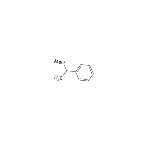 CO[C](C)c1ccccc1